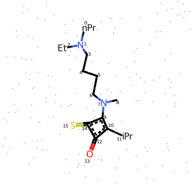 CCCN(CC)CCCCN(C)c1c(C(C)C)c(=O)c1=S